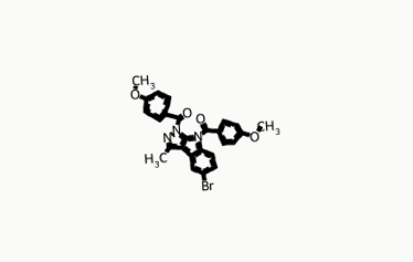 COc1ccc(C(=O)n2nc(C)c3c4cc(Br)ccc4n(C(=O)c4ccc(OC)cc4)c32)cc1